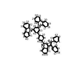 c1ccc(-c2sc3c(-c4ccc(-c5cc(-n6c7ccccc7c7ccccc76)cc(-n6c7ccccc7c7ccccc76)c5)cc4)nc4ccccc4c3c2-c2ccccc2)cc1